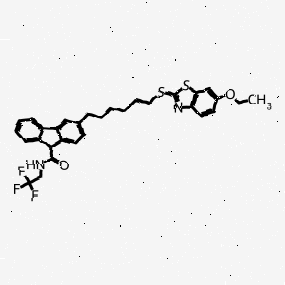 CCOc1ccc2nc(SCCCCCCc3ccc4c(c3)-c3ccccc3C4C(=O)NCC(F)(F)F)sc2c1